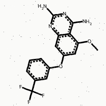 COc1cc(Oc2cccc(C(F)(F)F)c2)cc2nc(N)nc(N)c12